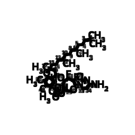 CC(C)=CCC/C(C)=C/CC/C(C)=C/CCC1(C)CCc2cc(OP(=O)(O)OC3CO[C@@H](n4ccc(N)nc4=O)C(F)[C@@H](F)[C@H](O)C3)c(C)c(C)c2O1